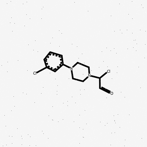 O=CC(Cl)N1CCN(c2cccc(Cl)c2)CC1